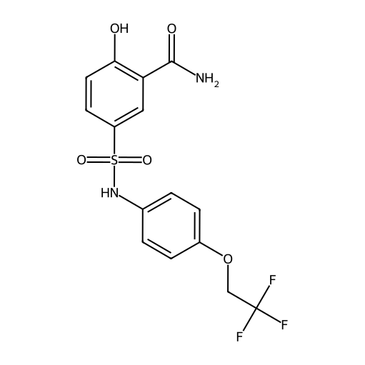 NC(=O)c1cc(S(=O)(=O)Nc2ccc(OCC(F)(F)F)cc2)ccc1O